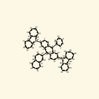 c1ccc(-c2c3ccc(-n4c5ccccc5c5ccccc54)cc3c(-c3ccc4ccccc4c3)c3ccc(-n4c5ccccc5c5ccccc54)cc23)nc1